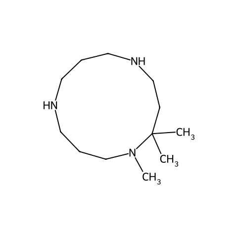 CN1CCCNCCCNCCC1(C)C